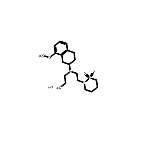 CCCN(CCN1CCCCS1(=O)=O)C1CCc2cccc(OC)c2C1.Cl